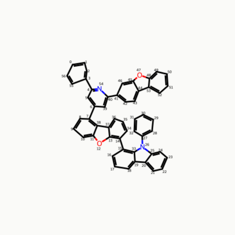 c1ccc(-c2cc(-c3cccc4oc5c(-c6cccc7c8ccccc8n(-c8ccccc8)c67)cccc5c34)cc(-c3ccc4c(c3)oc3ccccc34)n2)cc1